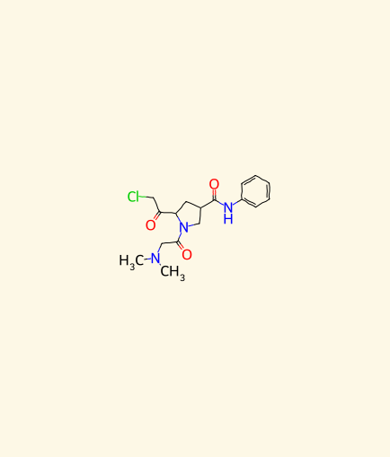 CN(C)CC(=O)N1CC(C(=O)Nc2ccccc2)CC1C(=O)CCl